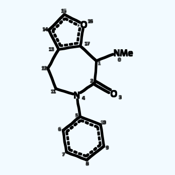 CNC1C(=O)N(c2ccccc2)CCc2ccoc21